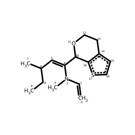 C=CN(C)/C(=C\C(C)CC)C1OCCc2ccsc21